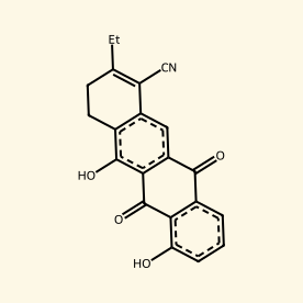 CCC1=C(C#N)c2cc3c(c(O)c2CC1)C(=O)c1c(O)cccc1C3=O